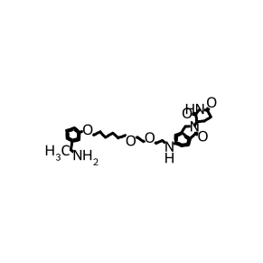 C[C@@H](N)c1cccc(OCCCCCCOCCOCCNc2ccc3c(c2)CN(C2CCC(=O)NC2=O)C3=O)c1